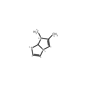 CC1=CN2C=CSC2N1C